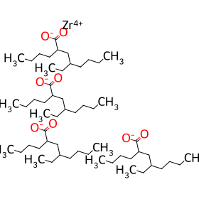 CCCCC(CC)CC(CCCC)C(=O)[O-].CCCCC(CC)CC(CCCC)C(=O)[O-].CCCCC(CC)CC(CCCC)C(=O)[O-].CCCCC(CC)CC(CCCC)C(=O)[O-].[Zr+4]